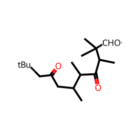 CC(CC(=O)CC(C)(C)C)C(C)C(=O)C(C)C(C)(C)[C]=O